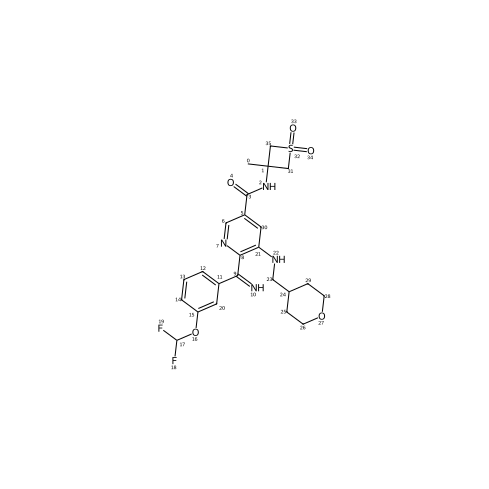 CC1(NC(=O)c2cnc(C(=N)c3cccc(OC(F)F)c3)c(NCC3CCOCC3)c2)CS(=O)(=O)C1